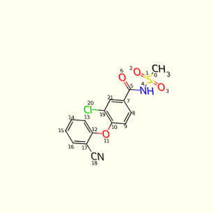 CS(=O)(=O)NC(=O)c1ccc(Oc2ccccc2C#N)c(Cl)c1